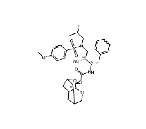 COc1ccc(S(=O)(=O)N(CC(C)C)C[C@@H](O)[C@H](Cc2ccccc2)NC(=O)O[C@H]2C3COC4OC2CC4C3)cc1